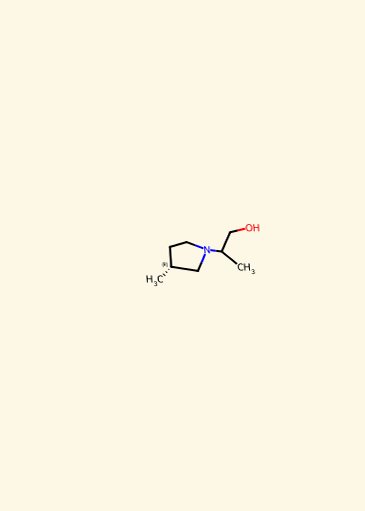 CC(CO)N1CC[C@@H](C)C1